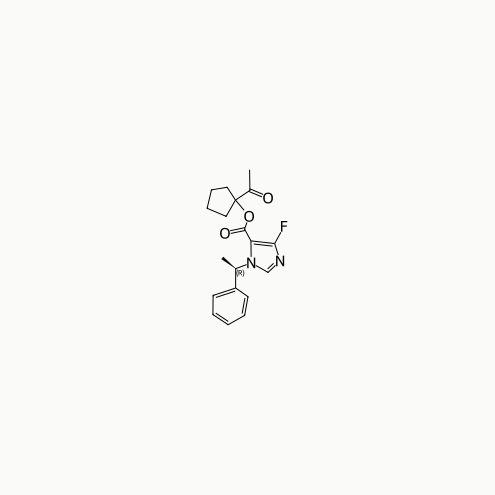 CC(=O)C1(OC(=O)c2c(F)ncn2[C@H](C)c2ccccc2)CCCC1